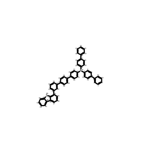 c1ccc(-c2ccc(N(c3ccc(-c4ccccc4)cc3)c3ccc(-c4ccc(-c5cccc(-c6cccc7c6sc6ccccc67)c5)cc4)cc3)cc2)cc1